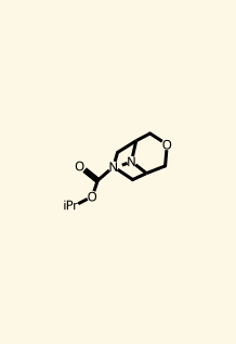 CC(C)OC(=O)N1CC2COCC(C1)N2C